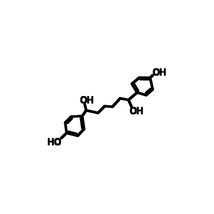 Oc1ccc(C(O)CCCCC(O)c2ccc(O)cc2)cc1